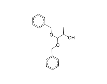 CC(O)C(OCc1ccccc1)OCc1ccccc1